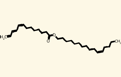 C=C/C=C/C=C\CCCCCCC(=O)OCCCCCCCCCC/C=C\CCCC